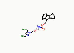 O=C(NCCOCCn1nc(CBr)cc1CBr)OCC1c2ccccc2-c2ccccc21